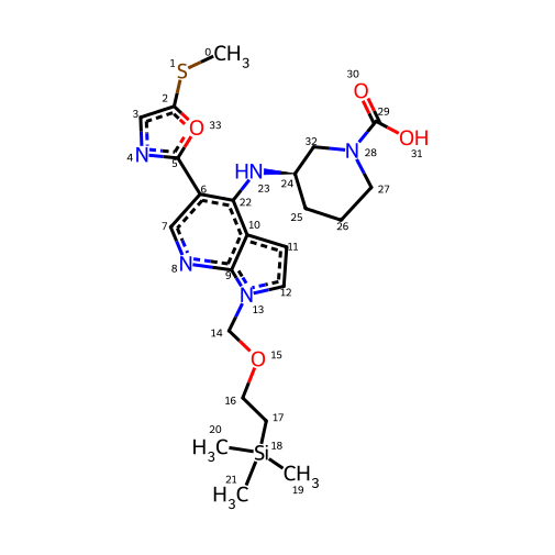 CSc1cnc(-c2cnc3c(ccn3COCC[Si](C)(C)C)c2N[C@@H]2CCCN(C(=O)O)C2)o1